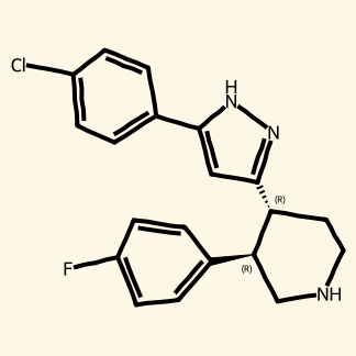 Fc1ccc([C@@H]2CNCC[C@H]2c2cc(-c3ccc(Cl)cc3)[nH]n2)cc1